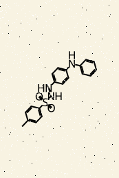 Cc1ccc(S(=O)(=O)NNc2ccc(Nc3ccccc3)cc2)cc1